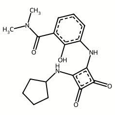 CN(C)C(=O)c1cccc(Nc2c(NC3CCCC3)c(=O)c2=O)c1O